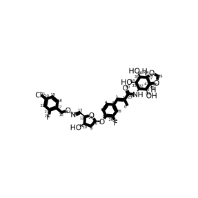 C/C(=C\c1ccc(O[C@H]2C[C@H](O)[C@@H](/C=N/OCc3ccc(Cl)cc3F)O2)c(F)c1)C(=O)N[C@@H]1[C@H](O)[C@@H](O)[C@H]2OCO[C@H]2[C@@H]1O